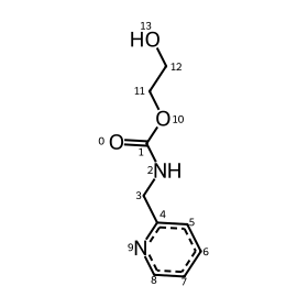 O=C(NCc1ccccn1)OCCO